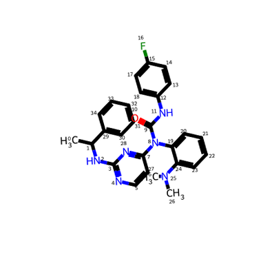 CC(Nc1nccc(N(C(=O)Nc2ccc(F)cc2)c2ccccc2N(C)C)n1)c1ccccc1